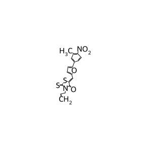 C=CCN1C(=O)C(=Cc2ccc(-c3ccc([N+](=O)[O-])c(C)c3)o2)SC1=S